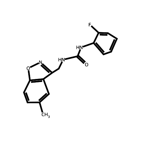 Cc1ccc2onc(CNC(=O)Nc3ccccc3F)c2c1